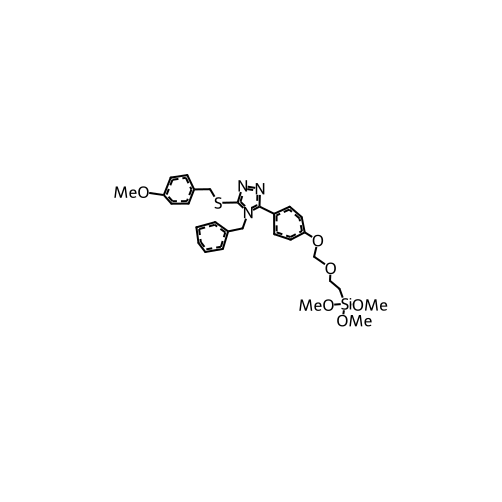 COc1ccc(CSc2nnc(-c3ccc(OCOCC[Si](OC)(OC)OC)cc3)n2Cc2ccccc2)cc1